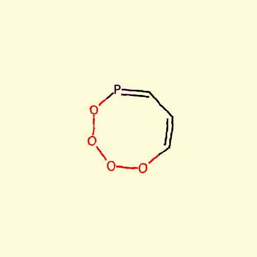 C1=COOOOP=C1